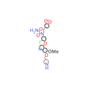 COc1cc2c(Oc3ccc(N(CCc4ccc5c(c4)OCO5)C(=O)C(N)=O)cc3F)ccnc2cc1OCC1CCNCC1